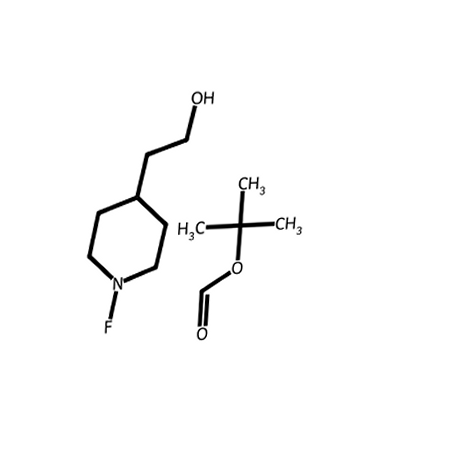 CC(C)(C)OC=O.OCCC1CCN(F)CC1